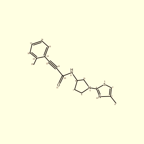 Cc1csc(N2CCC(NC(=O)C#Cc3ccccc3C)C2)n1